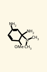 COC1C=CC(N)=CC1(N)N(C)C